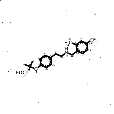 CCOC(=O)C(C)(C)Oc1ccc(CCNCc2ccc(C(F)(F)F)cc2C(F)(F)F)cc1